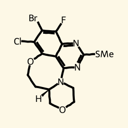 CSc1nc2c3c(c(Cl)c(Br)c(F)c3n1)OCC[C@H]1COCCN21